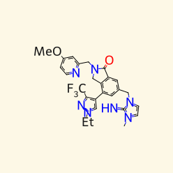 CCn1cc(-c2cc(Cn3ccn(C)c3=N)cc3c2CN(Cc2cc(OC)ccn2)C3=O)c(C(F)(F)F)n1